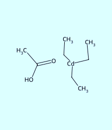 CC(=O)O.C[CH2][Cd]([CH2]C)[CH2]C